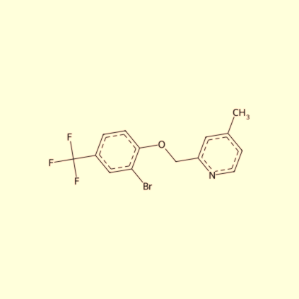 Cc1ccnc(COc2ccc(C(F)(F)F)cc2Br)c1